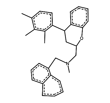 Cc1ccc(C2CC(CN(C)Cc3cccc4ccccc34)Oc3ccccc32)c(C)c1C